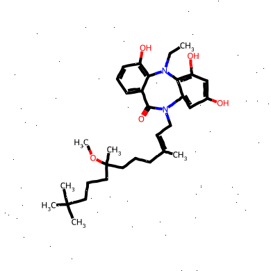 CCN1c2c(O)cccc2C(=O)N(C/C=C(\C)CCCC(C)(CCCC(C)(C)C)OC)c2cc(O)cc(O)c21